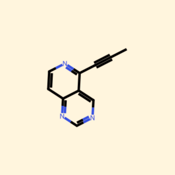 CC#Cc1nccc2ncncc12